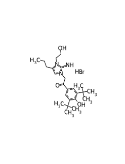 Br.CCCc1cn(CC(=O)c2cc(C(C)(C)C)c(O)c(C(C)(C)C)c2)c(=N)n1CCO